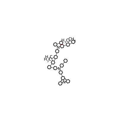 CC1(C)c2ccccc2-c2ccc(-c3ccc(N(c4ccc(-c5ccc6c(c5)C(C)(C)c5cc(-c7ccccc7-c7ccc(N(c8ccc(-c9ccccc9)cc8)c8ccc(-c9cc%10c%11ccccc%11n%11c%12ccccc%12c(c9)c%10%11)cc8)cc7)ccc5-6)cc4)c4ccccc4-c4ccccc4)cc3)cc21